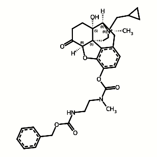 CN(CCNC(=O)OCc1ccccc1)C(=O)Oc1ccc2c3c1O[C@H]1C(=O)CC[C@@]4(O)[C@@H](C2)[N@@+](C)(CC2CC2)CC[C@]314